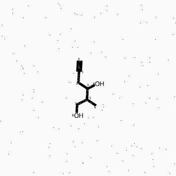 [C]#CCC(O)C(C)CO